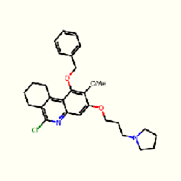 COc1c(OCCCN2CCCC2)cc2nc(Cl)c3c(c2c1OCc1ccccc1)CCCC3